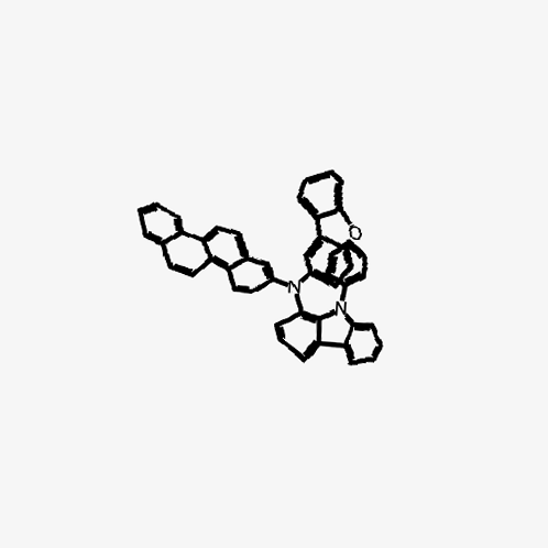 c1ccc(-n2c3ccccc3c3cccc(N(c4ccc5c(ccc6c7ccccc7ccc56)c4)c4ccc5oc6ccccc6c5c4)c32)cc1